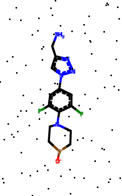 NCc1cn(-c2cc(F)c(N3CC[S+]([O-])CC3)c(F)c2)nn1